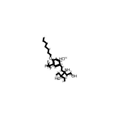 CCCCCCCOc1ccc(CCC(N)(CCO)C(O)(CC)CC)cc1C(F)(F)F.Cl